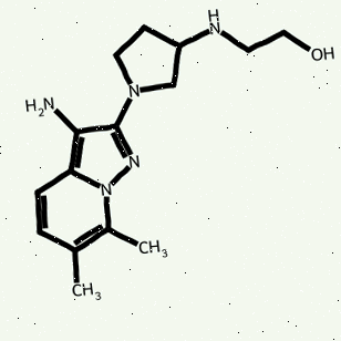 Cc1ccc2c(N)c(N3CCC(NCCO)C3)nn2c1C